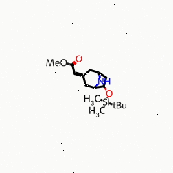 COC(=O)C=C1CC2CC(O[Si](C)(C)C(C)(C)C)C(C1)N2